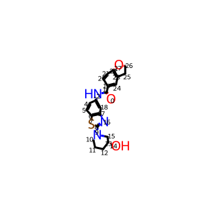 O=C(Nc1ccc2sc(N3CCC[C@@H](O)C3)nc2c1)c1ccc2c(c1)CCO2